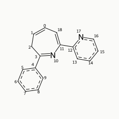 C1=CCC(c2ccccc2)=NC(c2ccccn2)=C1